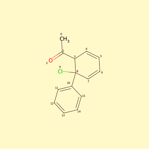 CC(=O)C1C=CC=CC1(Cl)c1ccccc1